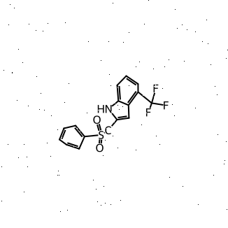 O=S(=O)(Cc1cc2c(C(F)(F)F)cccc2[nH]1)c1ccccc1